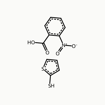 O=C(O)c1ccccc1[N+](=O)[O-].Sc1cccs1